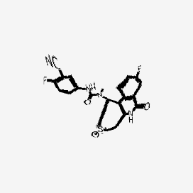 CN(C(=O)Nc1ccc(F)c(C#N)c1)C1C[S@+]([O-])Cc2[nH]c(=O)c3cc(F)ccc3c21